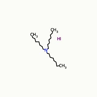 CCCCCCCCN(CCCCCCCC)CCCCCCCC.I